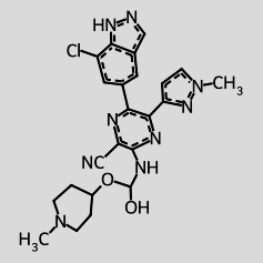 CN1CCC(OC(O)Nc2nc(-c3ccn(C)n3)c(-c3cc(Cl)c4[nH]ncc4c3)nc2C#N)CC1